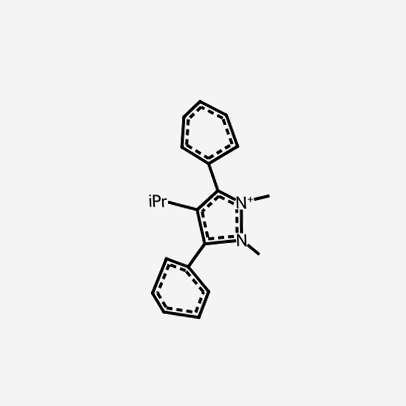 CC(C)c1c(-c2ccccc2)n(C)[n+](C)c1-c1ccccc1